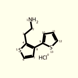 Cl.NCCc1sccc1-c1cccs1